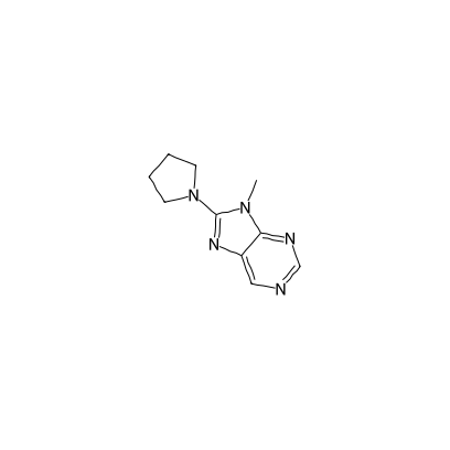 Cn1c(N2CCCC2)nc2cncnc21